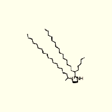 CCCCCCCCCCCCCCCCCC(C)[n+]1cc[nH]c1C(CCCCC)CCCCCCCCCCCCCCC